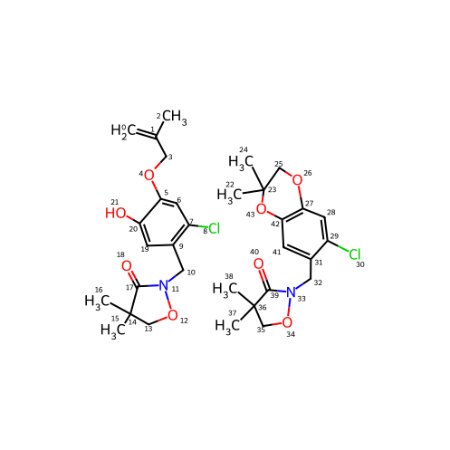 C=C(C)COc1cc(Cl)c(CN2OCC(C)(C)C2=O)cc1O.CC1(C)COc2cc(Cl)c(CN3OCC(C)(C)C3=O)cc2O1